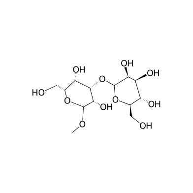 COC1O[C@H](CO)[C@H](O)[C@H](OC2O[C@H](CO)[C@@H](O)[C@H](O)[C@@H]2O)[C@@H]1O